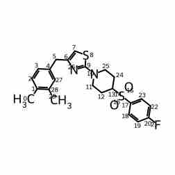 Cc1ccc(Cc2csc(N3CCC(S(=O)(=O)c4ccc(F)cc4)CC3)n2)cc1C